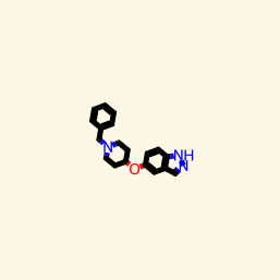 c1ccc(CN2CCC(Oc3ccc4[nH]ncc4c3)CC2)cc1